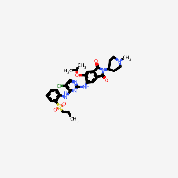 CCCS(=O)(=O)c1ccccc1Nc1nc(Nc2cc3c(cc2OC(C)C)C(=O)N(C2CCN(C)CC2)C3=O)ncc1Cl